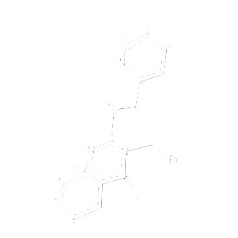 CC(C)Cn1c(SCc2ccccn2)nc2ccccc2c1=O